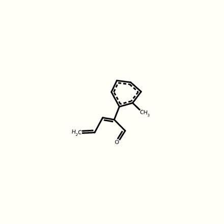 C=CC=C(C=O)c1ccccc1C